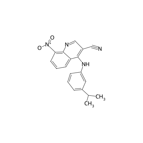 CC(C)c1cccc(Nc2c(C#N)cnc3c([N+](=O)[O-])cccc23)c1